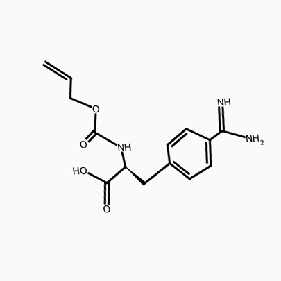 C=CCOC(=O)N[C@@H](Cc1ccc(C(=N)N)cc1)C(=O)O